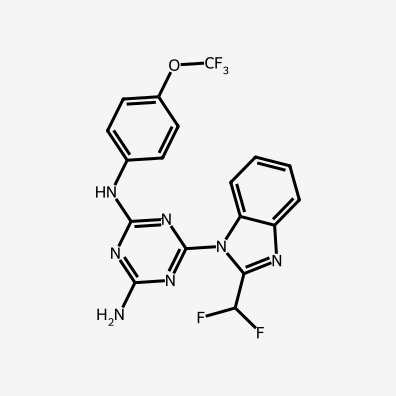 Nc1nc(Nc2ccc(OC(F)(F)F)cc2)nc(-n2c(C(F)F)nc3ccccc32)n1